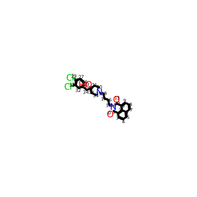 O=C1c2cccc3cccc(c23)C(=O)N1CCCCN1CCC(O)(Cc2ccc(Cl)c(Cl)c2)CC1